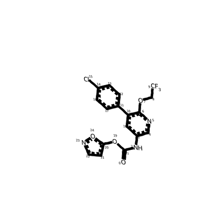 O=C(Nc1cnc(OCC(F)(F)F)c(-c2ccc(Cl)cc2)c1)Oc1ccno1